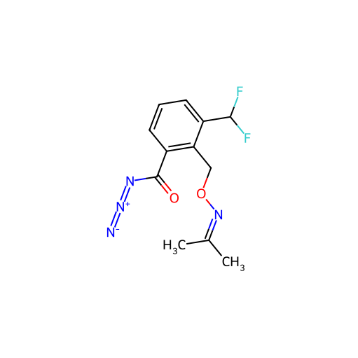 CC(C)=NOCc1c(C(=O)N=[N+]=[N-])cccc1C(F)F